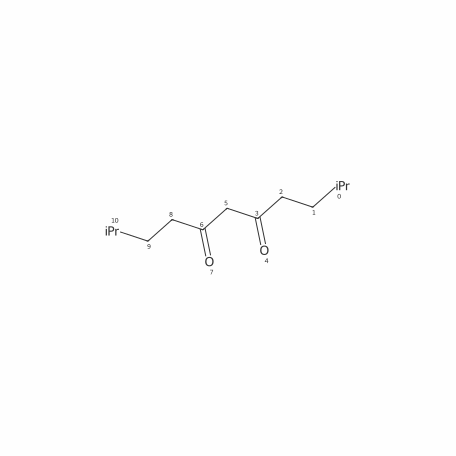 CC(C)CCC(=O)CC(=O)CCC(C)C